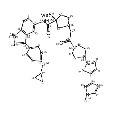 CS[C@@]1(C(=O)Nc2ccc3[nH]nc(-c4ccc(OC5CC5)nc4)c3c2)CCN(CC(=O)N2CCN(c3ncc(-c4ncn(C)n4)s3)CC2)C1